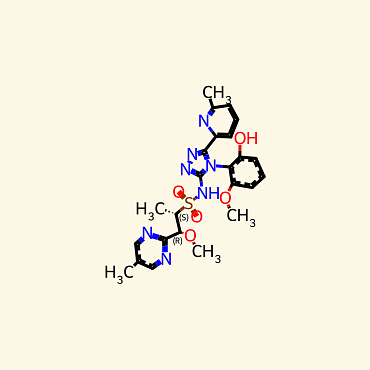 COc1cccc(O)c1-n1c(NS(=O)(=O)[C@@H](C)[C@H](OC)c2ncc(C)cn2)nnc1C1=C=C=CC(C)=N1